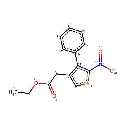 CCOC(=O)Cc1csc([N+](=O)[O-])c1-c1ccccc1